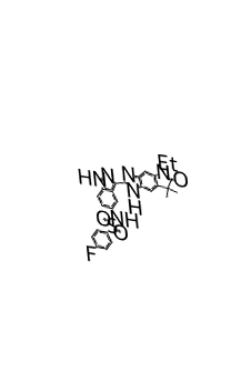 CCN1C(=O)C(C)(C)c2cc3[nH]c(-c4n[nH]c5ccc(NS(=O)(=O)c6ccc(F)cc6)cc45)nc3cc21